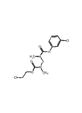 CN(SN(C)C(=O)Oc1cccc(Cl)c1)C(=O)OCCCl